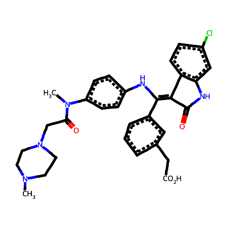 CN1CCN(CC(=O)N(C)c2ccc(NC(=C3C(=O)Nc4cc(Cl)ccc43)c3cccc(CC(=O)O)c3)cc2)CC1